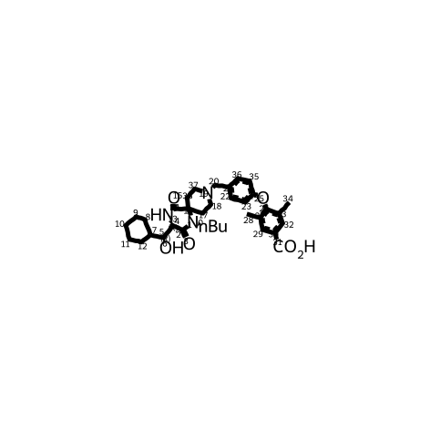 CCCCN1C(=O)[C@@H]([C@H](O)C2CCCCC2)NC(=O)C12CCN(Cc1ccc(Oc3c(C)cc(C(=O)O)cc3C)cc1)CC2